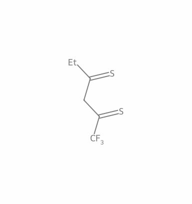 CCC(=S)CC(=S)C(F)(F)F